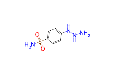 NNNc1ccc(S(N)(=O)=O)cc1